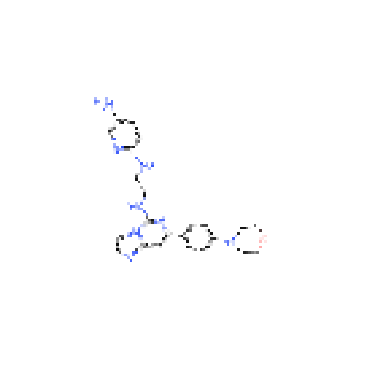 Nc1ccc(NCCNc2nc(-c3ccc(N4CCOCC4)cc3)cc3nccn23)nc1